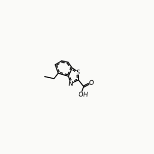 CCc1cccc2sc(C(=O)O)nc12